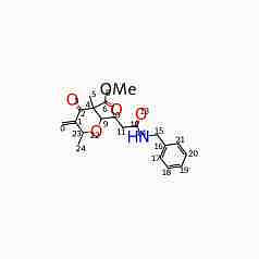 C=C1C(=O)C(C)(C(=O)OC)C(CCC(=O)NCc2ccccc2)OC1C